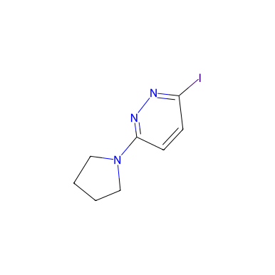 Ic1ccc(N2CCCC2)nn1